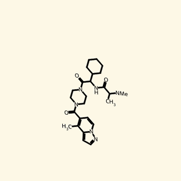 CNC(C)C(=O)NC(C(=O)N1CCN(C(=O)c2ccn3nccc3c2C)CC1)C1CCCCC1